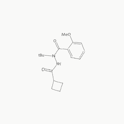 COc1ccccc1C(=O)N(NC(=O)C1CCC1)C(C)(C)C